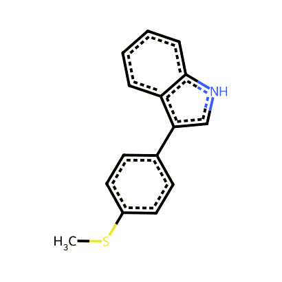 CSc1ccc(-c2c[nH]c3ccccc23)cc1